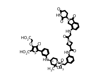 CC1(C)C[C@@H](Nc2cccc(-c3sc(C(=O)O)c(OCC(=O)O)c3Cl)c2)CCN1S(=O)(=O)Cc1cccc(NC(=O)C2CN(C(=O)CNc3cccc4c3CN(C3CCC(=O)NC3=O)C4=O)C2)c1